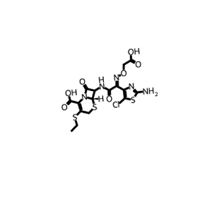 CCSC1=C(C(=O)O)N2C(=O)C(NC(=O)C(=NOCC(=O)O)c3nc(N)sc3Cl)[C@@H]2SC1